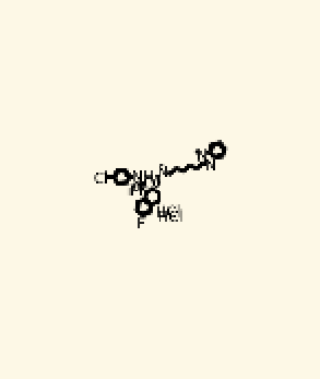 CC(C)[C@H]1c2ccc(F)cc2CC[C@@]1(CCN(C)CCCCCc1nc2ccccc2n1C)OC(=O)Nc1ccc(Cl)cc1.Cl.Cl